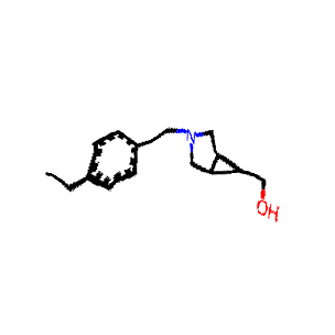 CCc1ccc(CN2CC3C(CO)C3C2)cc1